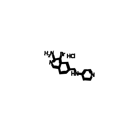 Cl.Nc1ncc2ccc(CNc3ccncc3)cc2c1Br